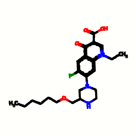 CCCCCCOCC1CN(c2cc3c(cc2F)c(=O)c(C(=O)O)cn3CC)CCN1